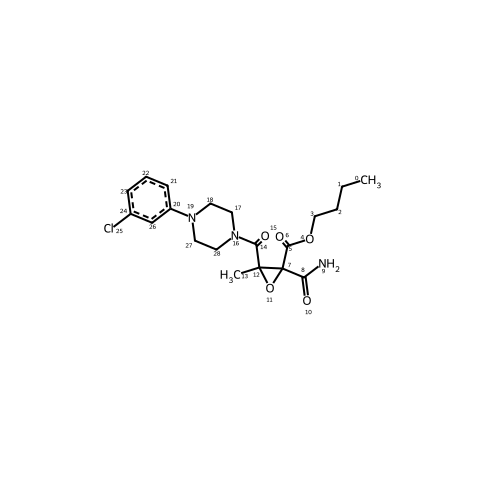 CCCCOC(=O)C1(C(N)=O)OC1(C)C(=O)N1CCN(c2cccc(Cl)c2)CC1